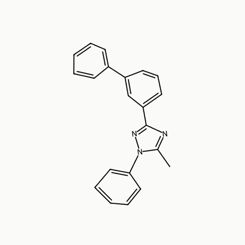 Cc1nc(-c2cccc(-c3ccccc3)c2)nn1-c1ccccc1